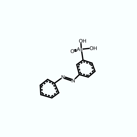 O=[As](O)(O)c1cccc(/N=N/c2ccccc2)c1